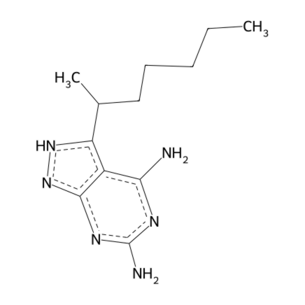 CCCCCC(C)c1[nH]nc2nc(N)nc(N)c12